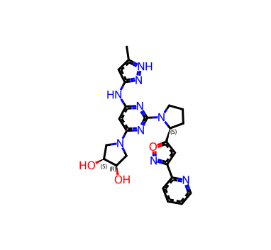 Cc1cc(Nc2cc(N3C[C@@H](O)[C@@H](O)C3)nc(N3CCC[C@H]3c3cc(-c4ccccn4)no3)n2)n[nH]1